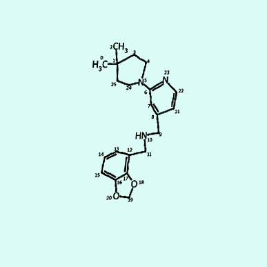 CC1(C)CCN(c2cc(CNCc3cccc4c3OCO4)ccn2)CC1